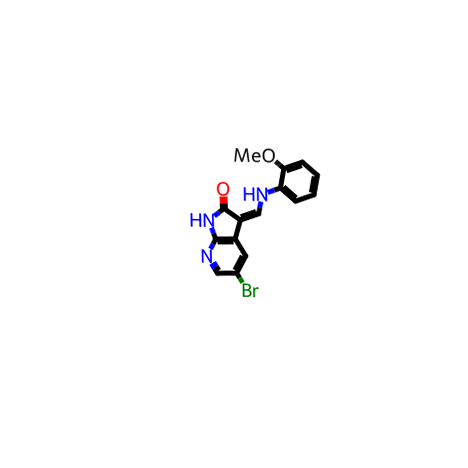 COc1ccccc1NC=C1C(=O)Nc2ncc(Br)cc21